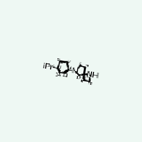 CC(C)c1ccc(N2CCC3(CCN3)C2)cc1